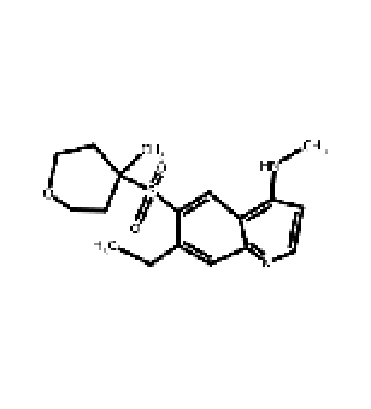 CCc1cc2nccc(NC)c2cc1S(=O)(=O)C1(C)CCOCC1